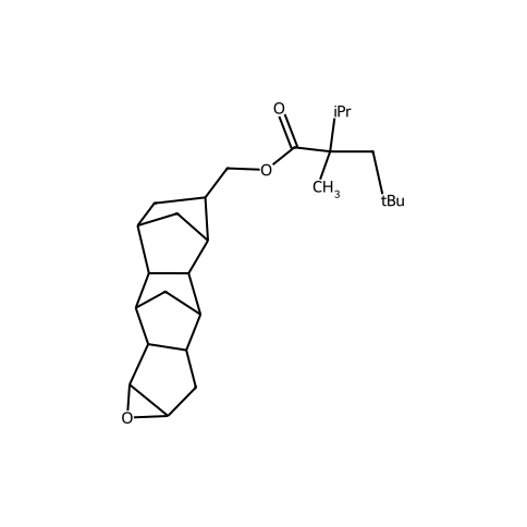 CC(C)C(C)(CC(C)(C)C)C(=O)OCC1CC2CC1C1C3CC(C4C3CC3OC34)C21